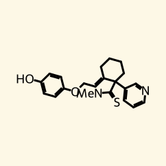 CNC(=S)C1(c2cccnc2)CCCCC1=CCOc1ccc(O)cc1